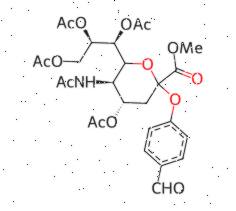 COC(=O)C1(Oc2ccc(C=O)cc2)C[C@H](OC(C)=O)[C@@H](NC(C)=O)C([C@H](OC(C)=O)[C@@H](COC(C)=O)OC(C)=O)O1